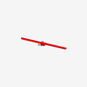 CCCCCCCCCCCCCCCCCCCCCCCCCCCCCCOC(=O)CC(C(=O)OCCCCCCCCCCCCCCCCCCCCCCCCCCCCCC)C(=S)[N+](C)(C)S